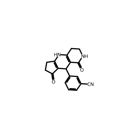 N#Cc1cccc(C2C3=C(CCC3=O)NC3=C2C(=O)NCC3)c1